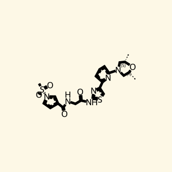 C[C@@H]1CN(c2cccc(-c3csc(NC(=O)CNC(=O)c4ccn(S(C)(=O)=O)c4)n3)n2)C[C@H](C)O1